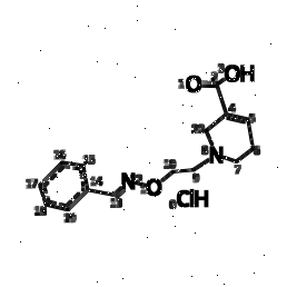 Cl.O=C(O)C1=CCCN(CCON=Cc2ccccc2)C1